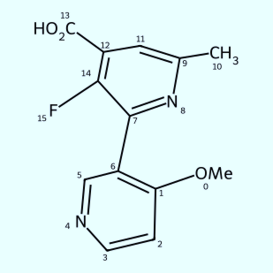 COc1ccncc1-c1nc(C)cc(C(=O)O)c1F